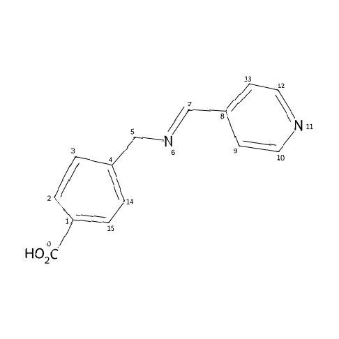 O=C(O)c1ccc(C/N=C/c2ccncc2)cc1